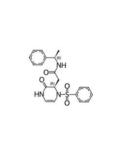 C[C@@H](NC(=O)C[C@@H]1C(=O)NC=CN1S(=O)(=O)c1ccccc1)c1ccccc1